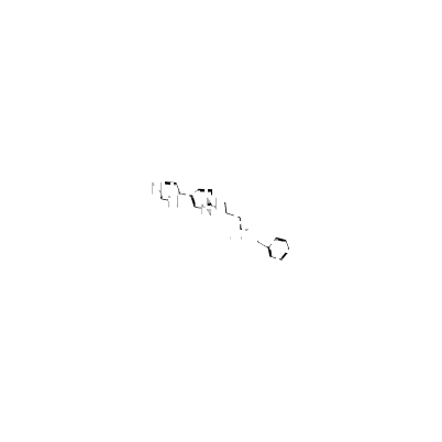 O=C(CCC[n+]1ccc(-c2ccncn2)cn1)OCc1ccccc1